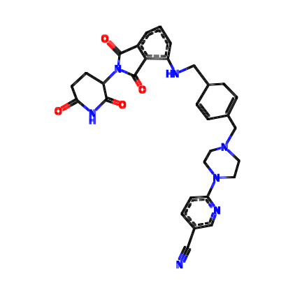 N#Cc1ccc(N2CCN(CC3=CCC(CNc4cccc5c4C(=O)N(C4CCC(=O)NC4=O)C5=O)C=C3)CC2)nc1